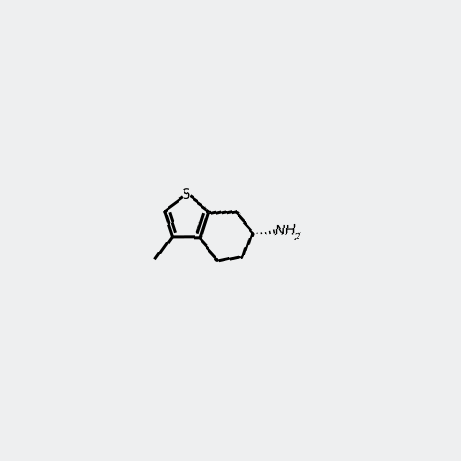 Cc1csc2c1CC[C@@H](N)C2